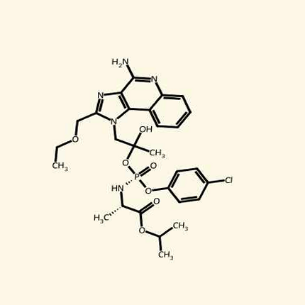 CCOCc1nc2c(N)nc3ccccc3c2n1CC(C)(O)O[P@](=O)(N[C@@H](C)C(=O)OC(C)C)Oc1ccc(Cl)cc1